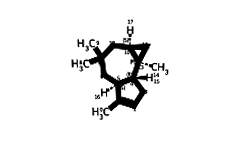 CC1=CC[C@@H]2[C@@H]1CC(C)(C)C[C@H]1C[C@]12C